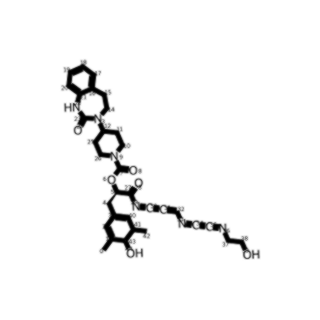 CC1=CC(C[C@@H](OC(=O)N2CCC(N3CCc4ccccc4NC3=O)CC2)C(=O)N=C=C=CN=C=C=NCCO)=CC(C)C1O